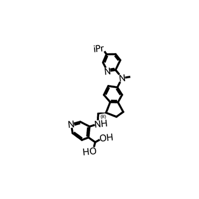 CC(C)c1ccc(N(C)c2ccc3c(c2)CC[C@H]3CNc2cnccc2C(O)O)nc1